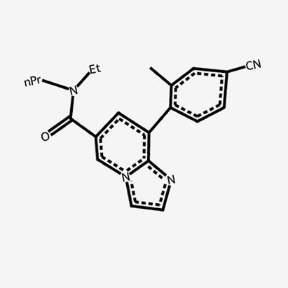 CCCN(CC)C(=O)c1cc(-c2ccc(C#N)cc2C)c2nccn2c1